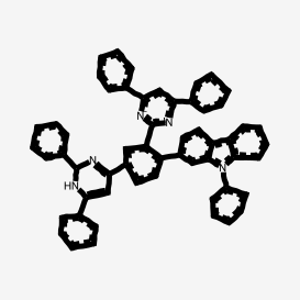 C1=C(c2ccccc2)NC(c2ccccc2)N=C1c1ccc(-c2ccc3c4ccccc4n(-c4ccccc4)c3c2)c(-c2nc(-c3ccccc3)cc(-c3ccccc3)n2)c1